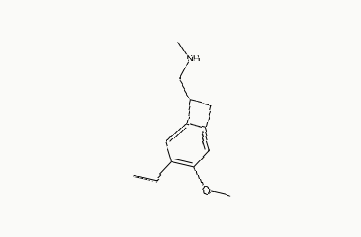 CCc1cc2c(cc1OC)CC2CNC